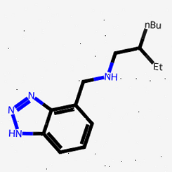 CCCCC(CC)CNCc1cccc2[nH]nnc12